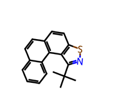 CC(C)(C)c1nsc2ccc3ccc4ccccc4c3c12